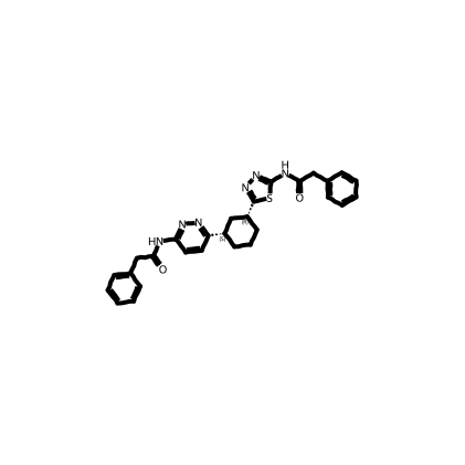 O=C(Cc1ccccc1)Nc1ccc([C@H]2CCC[C@@H](c3nnc(NC(=O)Cc4ccccc4)s3)C2)nn1